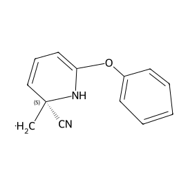 [CH2][C@@]1(C#N)C=CC=C(Oc2ccccc2)N1